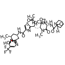 CC(=O)O[C@H](C[C@H](C(C)C)N(C)C(=O)[C@@H](NC(=O)[C@H]1CC2CCN1CC2)C1COC1)c1nc(C(=O)N[C@@H](Cc2ncc(C(F)(F)F)cn2)C[C@H](C)C(=O)O)cs1